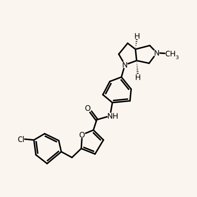 CN1C[C@@H]2CCN(c3ccc(NC(=O)c4ccc(Cc5ccc(Cl)cc5)o4)cc3)[C@@H]2C1